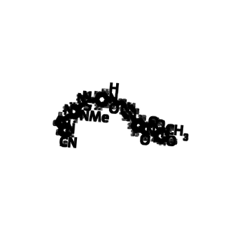 CNc1cc(-c2ccc3cc(C#N)cnn23)ncc1-c1nnc(C2CCC(NC(=O)CN3CCN(c4ccc5c(c4)C(=O)N(C4CCC(=O)N(C)C4=O)C5=O)CC3)CC2)s1